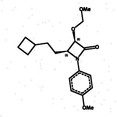 COCO[C@H]1C(=O)N(c2ccc(OC)cc2)[C@H]1CCC1CCC1